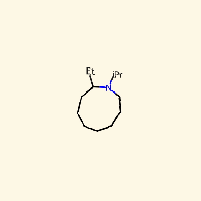 CCC1CCCCCCCN1C(C)C